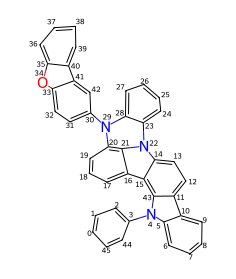 c1ccc(-n2c3ccccc3c3ccc4c(c5cccc6c5n4-c4ccccc4N6c4ccc5oc6ccccc6c5c4)c32)cc1